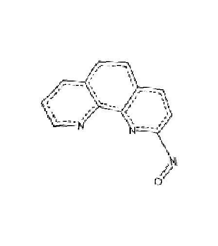 O=Nc1ccc2ccc3cccnc3c2n1